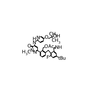 CC(=O)OCc1c(Cc2c(F)cc(C(C)(C)C)cc2C=N)cccc1-c1cc(Nc2ccc(OCC(C)(C)O)cn2)c(=O)n(C)n1